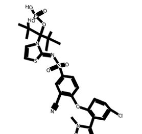 Cn1nccc1-c1cc(Cl)ccc1Oc1ccc(S(=O)(=O)N=c2sccn2C(OP(=O)(O)O)(C(C)(C)C)C(C)(C)C)cc1C#N